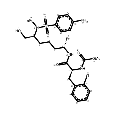 CCCN([C@H](CO)CCC[C@H](CC)NC(=O)[C@H](Cc1ccccc1Cl)NC(=O)OC)S(=O)(=O)c1ccc(N)cc1